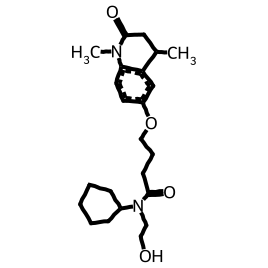 CC1CC(=O)N(C)c2ccc(OCCCC(=O)N(CCO)C3CCCCC3)cc21